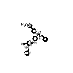 Cn1cc(-c2ccc(N(C(=O)NCc3ccccc3)[C@H]3CC[C@H](Nc4ncc(C#N)c(NCc5cnccn5)n4)CC3)nc2)cn1